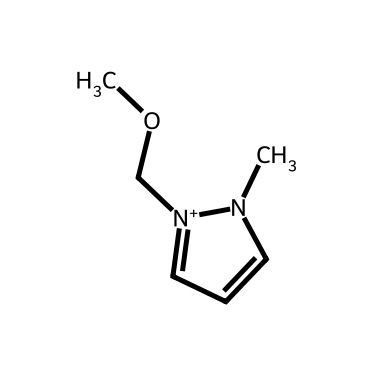 COC[n+]1cccn1C